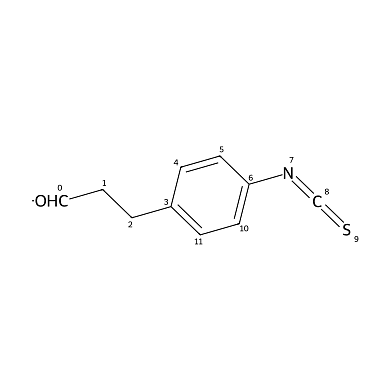 O=[C]CCc1ccc(N=C=S)cc1